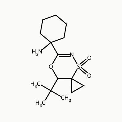 CC(C)(C)C1OC(C2(N)CCCCC2)=NS(=O)(=O)C12CC2